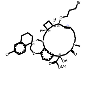 COC(=O)[C@@]1(O)CC(=O)N(C)CC/C=C/[C@H](OCCCBr)[C@@H]2CC[C@H]2CN2C[C@]3(CCCc4cc(Cl)ccc43)COc3ccc1cc32